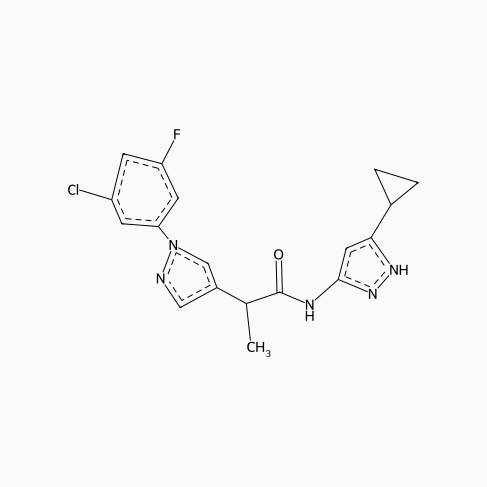 CC(C(=O)Nc1cc(C2CC2)[nH]n1)c1cnn(-c2cc(F)cc(Cl)c2)c1